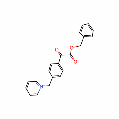 O=C(OCc1ccccc1)C(=O)c1ccc(C[n+]2ccccc2)cc1